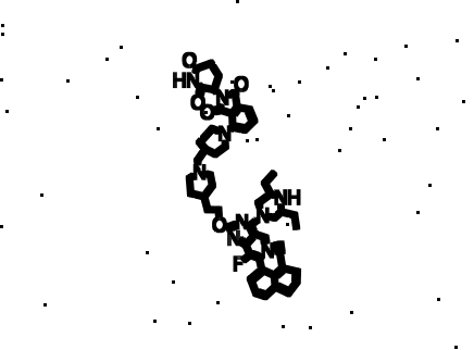 C#Cc1cccc2cccc(-c3ncc4c(N5CC(CC)NC(CC)C5)nc(OCCC5CCN(CC6CCN(c7cccc8c7C(=O)N(C7CCC(=O)NC7=O)C8=O)CC6)CC5)nc4c3F)c12